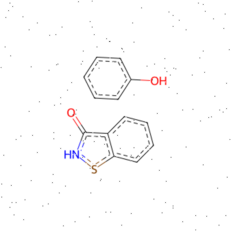 O=c1[nH]sc2ccccc12.Oc1ccccc1